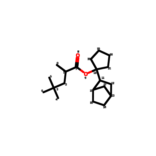 CC(CC(C)(C)C)C(=O)OC1(C2CC3CCC2C3)CCCC1